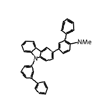 CNc1ccc(-c2ccc3c(c2)c2ccccc2n3-c2cccc(-c3ccccc3)c2)cc1-c1ccccc1